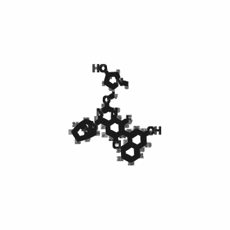 CN1C[C@H](O)C[C@H]1COc1nc(N2CC3CCC(C2)N3)c2cc(Cl)c(-c3cc(O)cc4ccccc34)c(F)c2n1